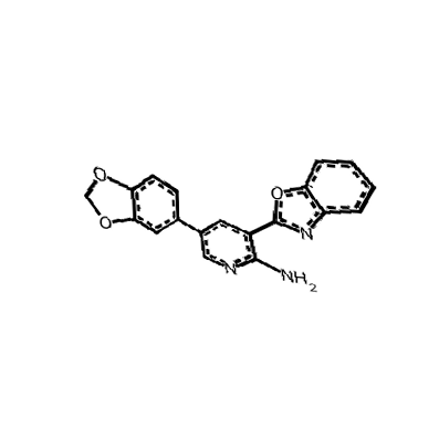 Nc1ncc(-c2ccc3c(c2)OCO3)cc1-c1nc2ccccc2o1